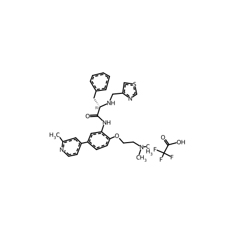 Cc1cc(-c2ccc(OCCN(C)C)c(NC(=O)[C@H](Cc3ccccc3)NCc3cscn3)c2)ccn1.O=C(O)C(F)(F)F